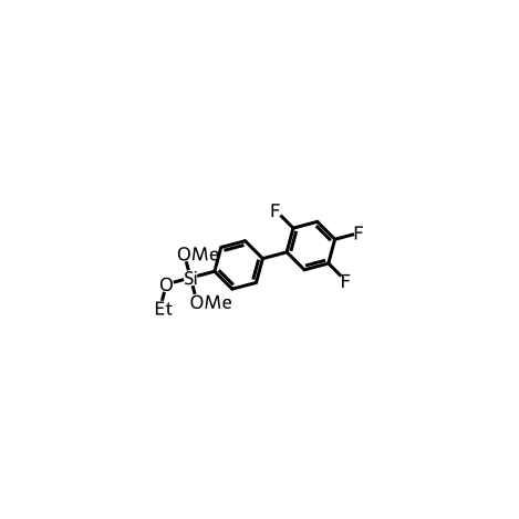 CCO[Si](OC)(OC)c1ccc(-c2cc(F)c(F)cc2F)cc1